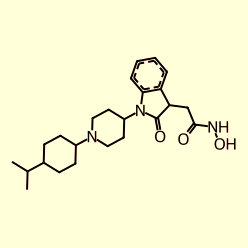 CC(C)C1CCC(N2CCC(N3C(=O)C(CC(=O)NO)c4ccccc43)CC2)CC1